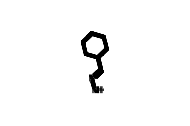 [NH]N=CC1CCCCC1